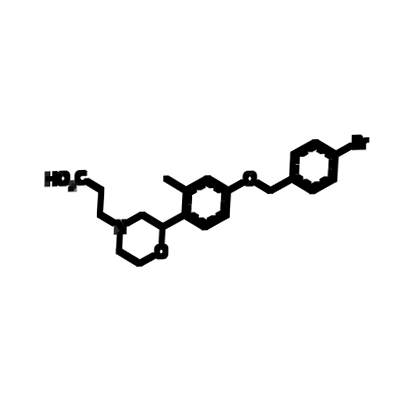 Cc1cc(OCc2ccc(Br)cc2)ccc1C1CN(CCC(=O)O)CCO1